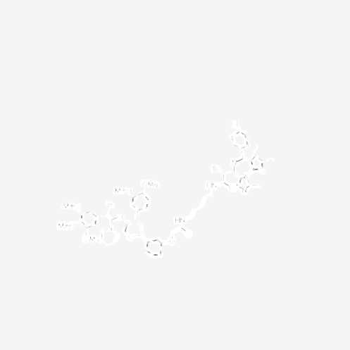 CC[C@H](C(=O)N1CCCC[C@H]1C(=O)O[C@H](CCc1ccc(OC)c(OC)c1)c1cccc(OCC(=O)NCCCCCNC(=O)[C@H](CC)[C@@H]2N=C(c3ccc(Cl)cc3)c3c(sc(C)c3C)-n3c(C)nnc32)c1)c1cc(OC)c(OC)c(OC)c1